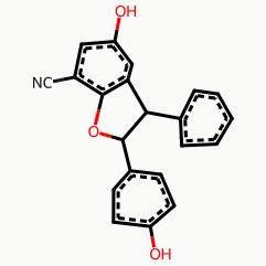 N#Cc1cc(O)cc2c1OC(c1ccc(O)cc1)C2c1ccccc1